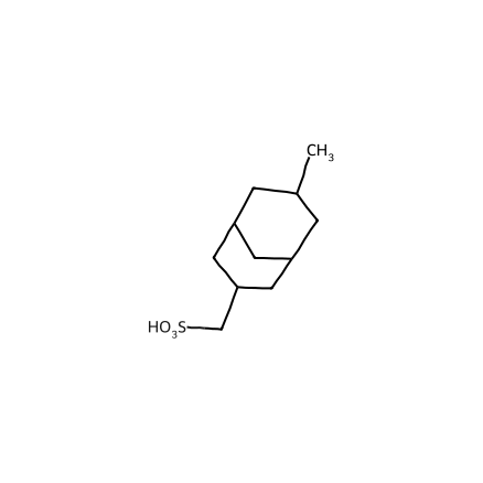 CC1CC2CC(C1)CC(CS(=O)(=O)O)C2